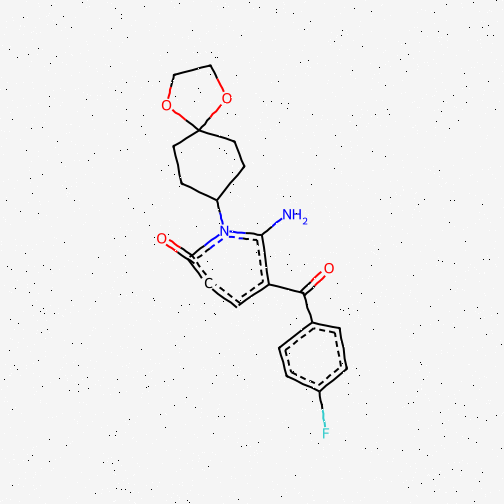 Nc1c(C(=O)c2ccc(F)cc2)ccc(=O)n1C1CCC2(CC1)OCCO2